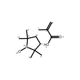 C=C(C)C(=O)O.CC1(C)CCC(C)(C)N1[O]